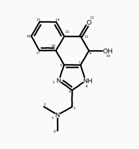 CN(C)Cc1nc2c([nH]1)C(O)C(=O)c1ccccc1-2